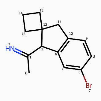 CC(=N)C1c2cc(Br)ccc2CC12CCC2